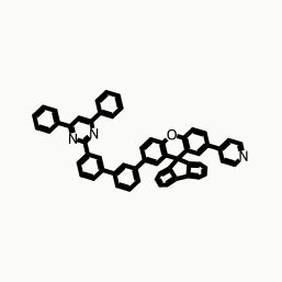 c1ccc(-c2cc(-c3ccccc3)nc(-c3cccc(-c4cccc(-c5ccc6c(c5)C5(c7cc(-c8ccncc8)ccc7O6)c6ccccc6-c6ccccc65)c4)c3)n2)cc1